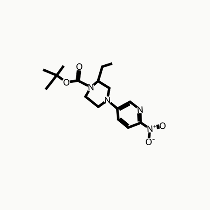 CCC1CN(c2ccc([N+](=O)[O-])nc2)CCN1C(=O)OC(C)(C)C